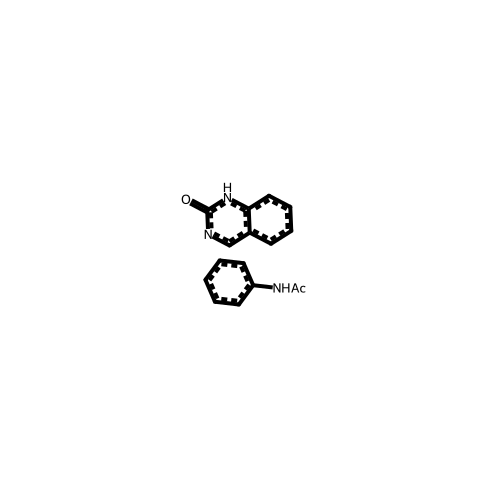 CC(=O)Nc1ccccc1.O=c1ncc2ccccc2[nH]1